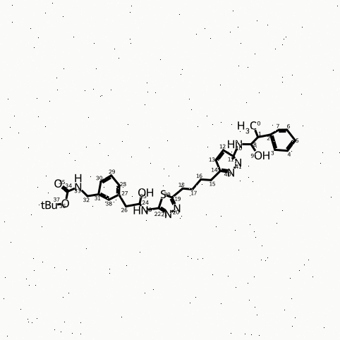 CC(c1ccccc1)C(O)Nc1ccc(CCCCc2nnc(NC(O)Cc3cccc(CNC(=O)OC(C)(C)C)c3)s2)nn1